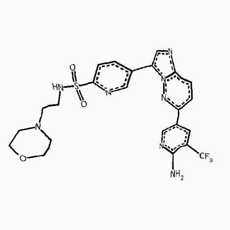 Nc1ncc(-c2ccc3ncc(-c4ccc(S(=O)(=O)NCCN5CCOCC5)nc4)n3n2)cc1C(F)(F)F